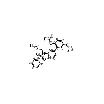 CCCN(c1nccc(-c2cc(OC(F)F)ccc2OC(F)F)n1)S(=O)(=O)c1ccccc1